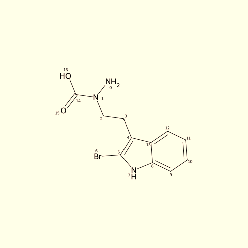 NN(CCc1c(Br)[nH]c2ccccc12)C(=O)O